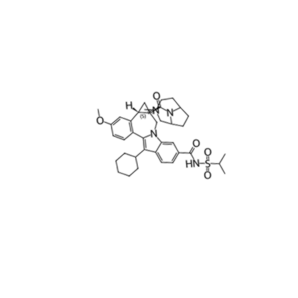 COc1ccc2c(c1)[C@@H]1C[C@]1(C(=O)N1C3CCC1CN(C)CC3)Cn1c-2c(C2CCCCC2)c2ccc(C(=O)NS(=O)(=O)C(C)C)cc21